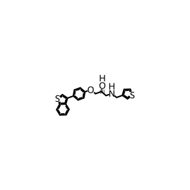 O[C@H](CNCc1ccsc1)COc1ccc(-c2csc3ccccc23)cc1